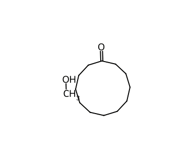 CO.O=C1CCCCCCCCCCC1